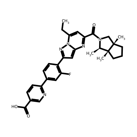 CCc1cc(C(=O)N2C[C@]3(C)CCC[C@]3(C)[C@H]2C)nc2cc(-c3ccc(-c4ccc(C(=O)O)cn4)cc3F)nn12